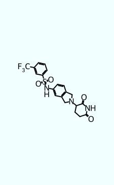 O=C1CCC(N2Cc3ccc(NS(=O)(=O)c4cccc(C(F)(F)F)c4)cc3C2)C(=O)N1